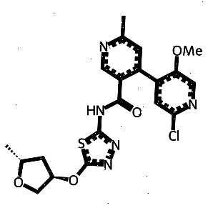 COc1cnc(Cl)cc1-c1cc(C)ncc1C(=O)Nc1nnc(O[C@H]2CO[C@H](C)C2)s1